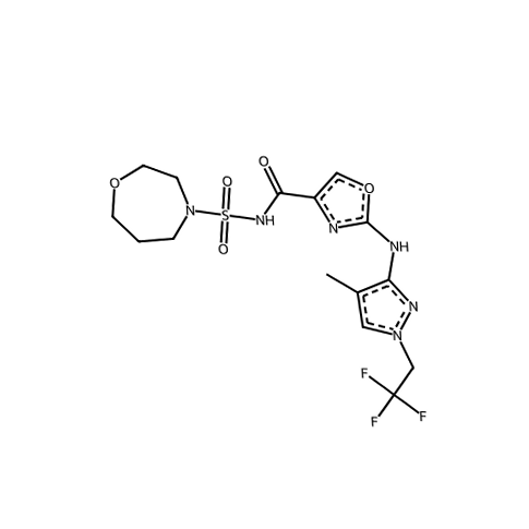 Cc1cn(CC(F)(F)F)nc1Nc1nc(C(=O)NS(=O)(=O)N2CCCOCC2)co1